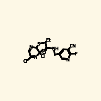 CCC(SC1N=CC(Cl)=NC1(C)Cl)C(=O)NCc1cnc(F)c(C#N)c1